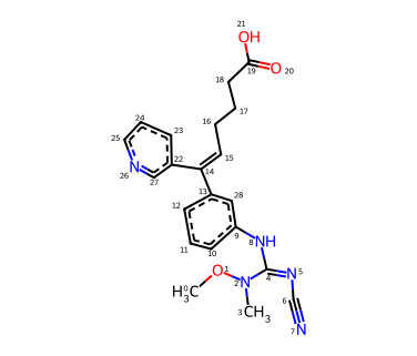 CON(C)C(=NC#N)Nc1cccc(C(=CCCCC(=O)O)c2cccnc2)c1